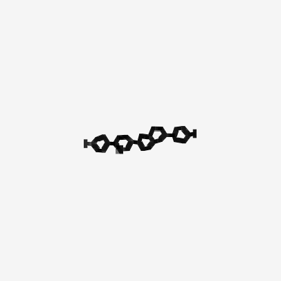 Ic1ccc(-c2ccc3cc(-c4ccc(-c5ccc(I)cc5)nc4)ccc3c2)cc1